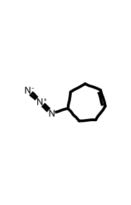 [N-]=[N+]=NC1CCC=CCC1